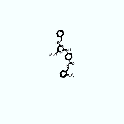 CNc1cc(NCc2ccccc2)nc(N[C@H]2CC[C@@H](C(=O)NCc3ccccc3C(F)(F)F)CC2)n1